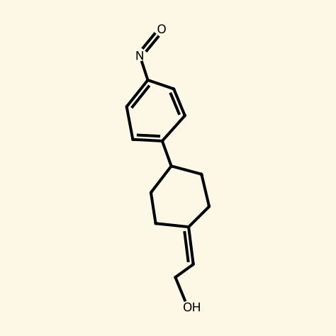 O=Nc1ccc(C2CCC(=CCO)CC2)cc1